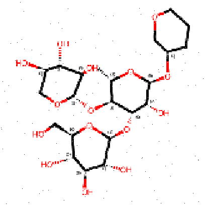 C[C@@H]1O[C@@H](O[C@@H]2CCCOC2)[C@H](O)[C@H](O[C@@H]2O[C@H](CO)[C@@H](O)[C@H](O)[C@H]2O)[C@H]1O[C@@H]1OC[C@@H](O)[C@H](O)[C@H]1O